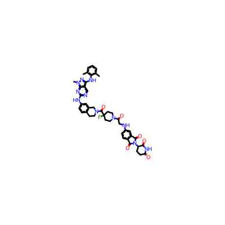 Cc1cccc(C)c1Nc1nn(C)c2nc(Nc3ccc4c(c3)CN(C(=O)C3(F)CCN(C(=O)CNc5ccc6c(c5)C(=O)N(C5CCC(=O)NC5=O)C6=O)CC3)CC4)ncc12